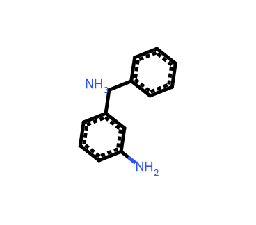 N.Nc1cccc(Cc2ccccc2)c1